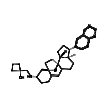 C[C@]12CC=C3C=C4CC[C@H](NCC5(O)CCC5)C[C@]45CC[C@]3(O5)[C@@H]1CC[C@@H]2c1ccc2ccncc2c1